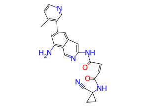 Cc1ccncc1-c1cc(N)c2cnc(NC(=O)/C=C\C(=O)NC3(C#N)CC3)cc2c1